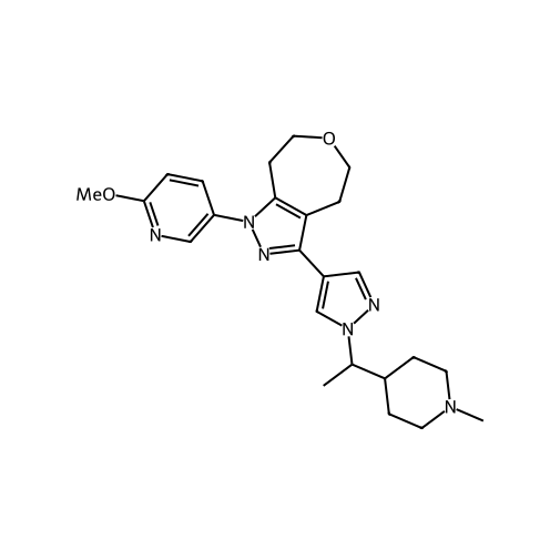 COc1ccc(-n2nc(-c3cnn(C(C)C4CCN(C)CC4)c3)c3c2CCOCC3)cn1